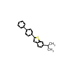 CC(C)c1ccc2cc(-c3ccc(-c4ccccc4)cc3)sc2c1